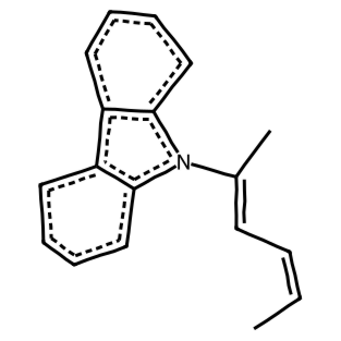 C/C=C\C=C(/C)n1c2ccccc2c2ccccc21